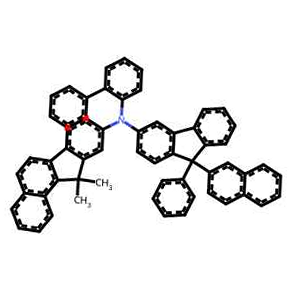 CC1(C)c2cc(N(c3ccc4c(c3)-c3ccccc3C4(c3ccccc3)c3ccc4ccccc4c3)c3ccccc3-c3ccccc3)ccc2-c2ccc3ccccc3c21